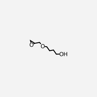 OCCCCOCC1CO1